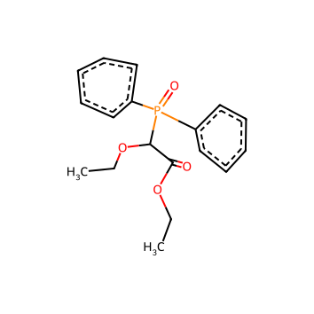 CCOC(=O)C(OCC)P(=O)(c1ccccc1)c1ccccc1